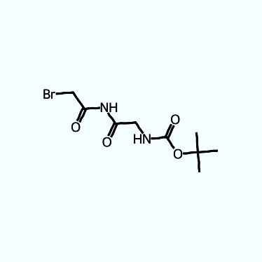 CC(C)(C)OC(=O)NCC(=O)NC(=O)CBr